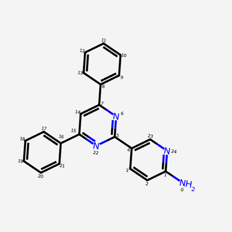 Nc1ccc(-c2nc(-c3ccccc3)cc(-c3ccccc3)n2)cn1